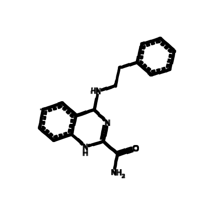 NC(=O)C1=NC(NCCc2ccccc2)c2c[c]ccc2N1